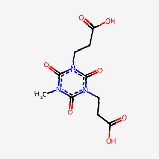 Cn1c(=O)n(CCC(=O)O)c(=O)n(CCC(=O)O)c1=O